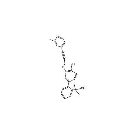 Cc1cccc(C#Cc2nc3cc(-c4ccccc4C(C)(C)O)ccc3[nH]2)c1